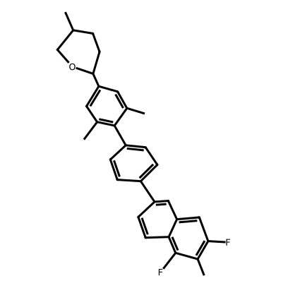 Cc1cc(C2CCC(C)CO2)cc(C)c1-c1ccc(-c2ccc3c(F)c(C)c(F)cc3c2)cc1